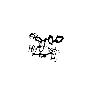 C[C@@H](NC(=O)[C@@H]1CC2(CN1C(=O)Cc1ccc(-c3ccccc3)cc1)OCCO2)c1cc(C(N)N)cs1